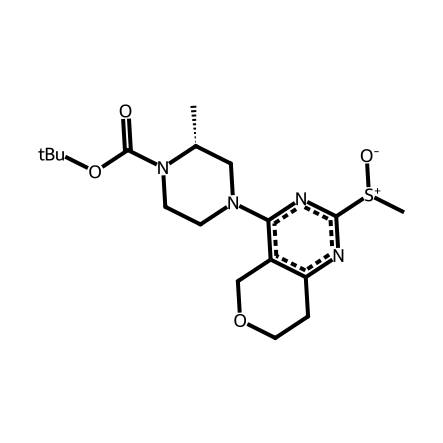 C[C@@H]1CN(c2nc([S+](C)[O-])nc3c2COCC3)CCN1C(=O)OC(C)(C)C